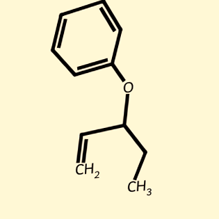 C=CC(CC)Oc1ccccc1